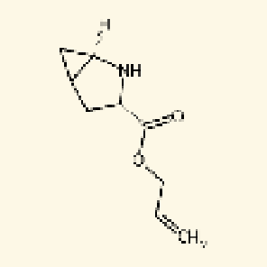 C=CCOC(=O)[C@@H]1CC2C[C@H]2N1